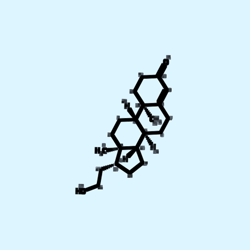 C[C@]12CC[C@H]3[C@@H](CCC4=CC(=O)CC[C@@]43C)[C@@H]1CC[C@@H]2CCO